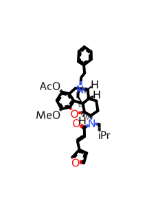 COc1cc(OC(C)=O)c2c3c1O[C@@H]1[C@H](N(CC(C)C)C(=O)C=Cc4ccoc4)CC[C@H]4[C@@H](C2)N(CCc2ccccc2)CC[C@]314